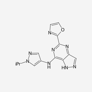 CC(C)n1cc(Nc2nc(-c3ncco3)nc3cn[nH]c23)cn1